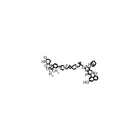 CCc1cccc2cc(O)cc(-c3ncc4c(N5CC6CCC(C5)N6)nc(OCC5(CN6CCC7(CC6)CC(F)(CN6CCN(c8ccc9c(c8)C(C)(C)C(=O)N9C8CCC(=O)NC8=O)CC6)C7)CC5)nc4c3F)c12